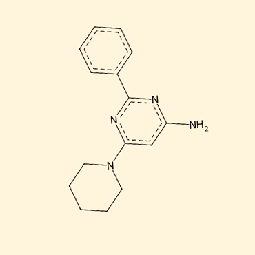 Nc1cc(N2CCCCC2)nc(-c2ccccc2)n1